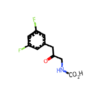 O=C(CNC(=O)O)Cc1cc(F)cc(F)c1